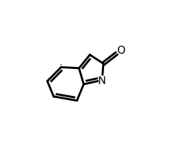 O=C1C=c2[c]cccc2=N1